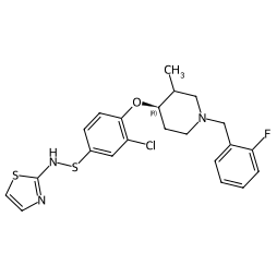 CC1CN(Cc2ccccc2F)CC[C@H]1Oc1ccc(SNc2nccs2)cc1Cl